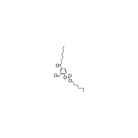 CCCCCCCC(=O)c1ccc(OC(=O)OCCCCCC)c(C=O)c1